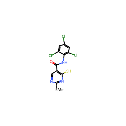 CSc1ncc(C(=O)Nc2c(Cl)cc(Cl)cc2Cl)c(S)n1